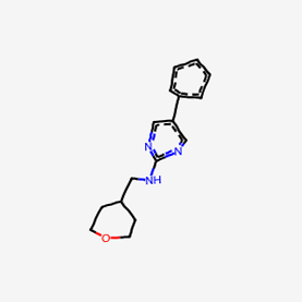 c1ccc(-c2cnc(NCC3CCOCC3)nc2)cc1